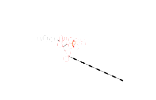 C#CC#CC#CC#CC#CC#CC#CC(=O)OC[C@H](COP(=O)(O)O)OC(=O)CCCCCCCC